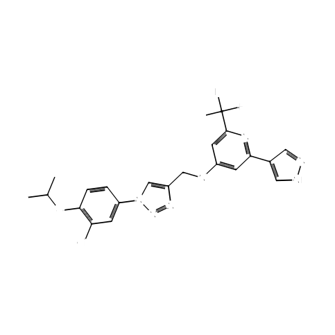 CC(C)Oc1ccc(-n2cc(CNc3cc(-c4cn[nH]c4)nc(C(F)(F)F)c3)nn2)cc1Cl